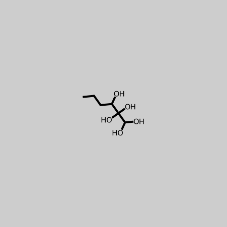 CCCC(O)C(O)(O)[C](O)O